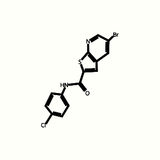 O=C(Nc1ccc(Cl)cc1)c1cc2cc(Br)cnc2s1